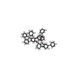 c1ccc(-c2ccc(-n3c4cc(-c5ccccc5)ccc4c4cccc(-n5c6ccccc6c6cc([Si](c7ccccc7)(c7ccccc7)c7ccccc7)ccc65)c43)cc2)cc1